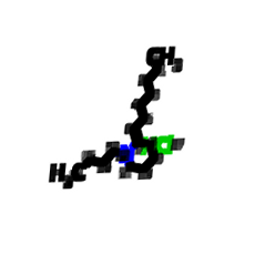 CCCCCCC=C1CCCCN1CCCC.Cl